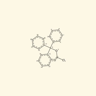 O=C(Cl)OC(c1ccccc1)(c1ccccc1)c1ccccc1